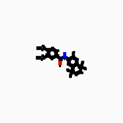 Cc1cc2c(cc1NC(=O)c1ccc(C(=O)O)c(C(=O)O)c1)C(C)(C)C=CC2(C)C